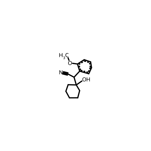 COc1ccccc1C(C#N)C1(O)CCCCC1